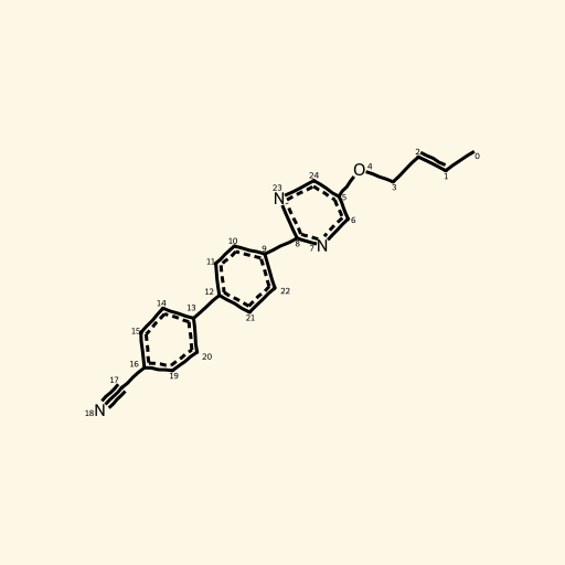 CC=CCOc1cnc(-c2ccc(-c3ccc(C#N)cc3)cc2)nc1